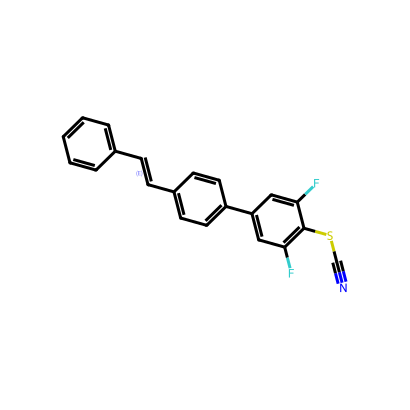 N#CSc1c(F)cc(-c2ccc(/C=C/c3ccccc3)cc2)cc1F